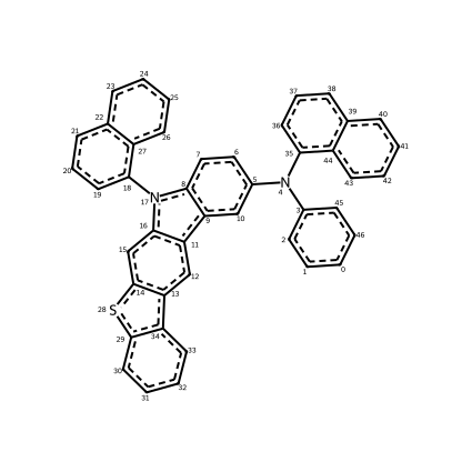 c1ccc(N(c2ccc3c(c2)c2cc4c(cc2n3-c2cccc3ccccc23)sc2ccccc24)c2cccc3ccccc23)cc1